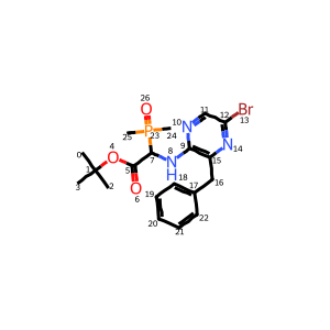 CC(C)(C)OC(=O)C(Nc1ncc(Br)nc1Cc1ccccc1)P(C)(C)=O